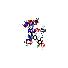 CCc1cc(OC)c(F)cc1-c1ccc2c(-c3nc4c(n3COCC[Si](C)(C)C)CN(C(=O)OC(C)(C)C)C(C(=O)N(C)OC)C4)nn(C3CCCCO3)c2c1